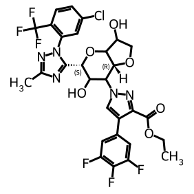 CCOC(=O)c1nn(C2C(O)[C@H](c3nc(C)nn3-c3cc(Cl)ccc3C(F)(F)F)OC3C(O)CO[C@@H]32)cc1-c1cc(F)c(F)c(F)c1